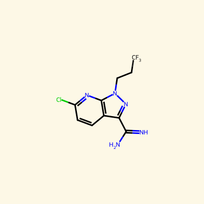 N=C(N)c1nn(CCC(F)(F)F)c2nc(Cl)ccc12